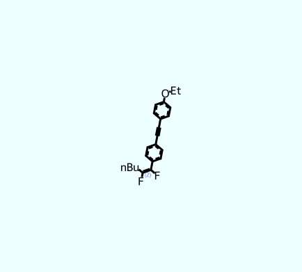 CCCC/C(F)=C(/F)c1ccc(C#Cc2ccc(OCC)cc2)cc1